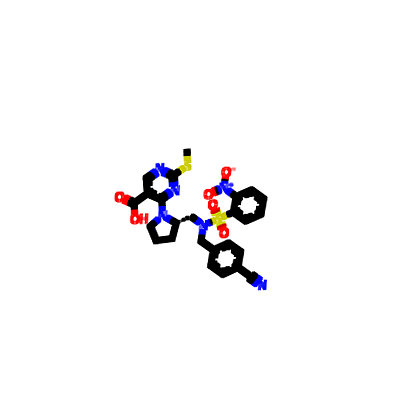 CSc1ncc(C(=O)O)c(N2CCC[C@H]2CN(Cc2ccc(C#N)cc2)S(=O)(=O)c2ccccc2[N+](=O)[O-])n1